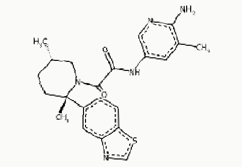 Cc1cc(NC(=O)C(=O)N2C[C@@H](C)CC[C@@]2(C)c2ccc3scnc3c2)cnc1N